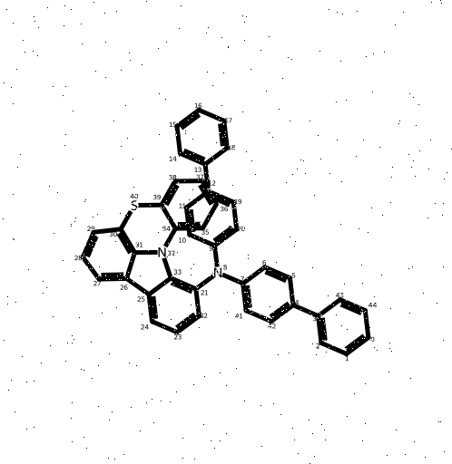 c1ccc(-c2ccc(N(c3ccc(-c4ccccc4)cc3)c3cccc4c5cccc6c5n(c34)-c3ccccc3S6)cc2)cc1